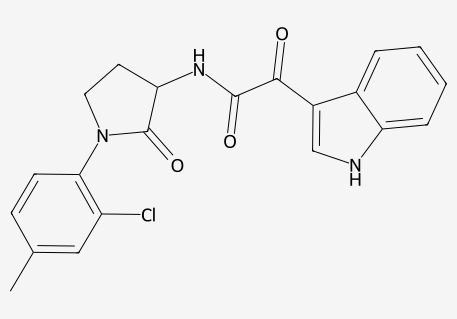 Cc1ccc(N2CCC(NC(=O)C(=O)c3c[nH]c4ccccc34)C2=O)c(Cl)c1